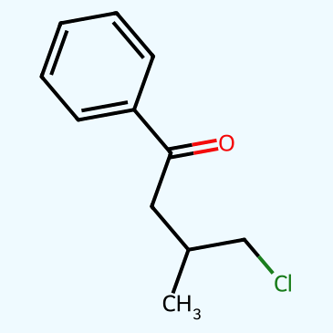 CC(CCl)CC(=O)c1ccccc1